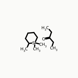 CC1CCCC[Si]1(C)C.CCC(=O)CC